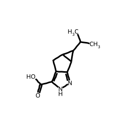 CC(C)C1C2Cc3c(n[nH]c3C(=O)O)C21